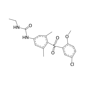 CCNC(=O)Nc1cc(C)c(S(=O)(=O)c2cc(Cl)ccc2OC)c(C)c1